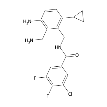 NCc1c(N)ccc(C2CC2)c1CNC(=O)c1cc(F)c(F)c(Cl)c1